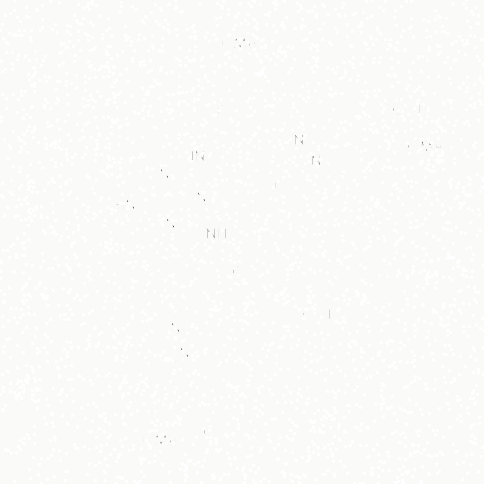 COCCOc1cc(N=Nc2ccc(OC)c(S(=O)(=O)O)c2)c(Cl)cc1Nc1nc(NCc2ccccc2)nc(Nc2cc(Cl)c(N=Nc3ccc(OC)c(S(=O)(=O)O)c3)cc2OCCS(=O)(=O)O)n1